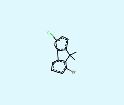 CC1(C)c2ccc(Cl)cc2-c2cccc(Br)c21